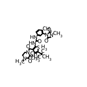 Cc1ccc(NC(=O)Nc2sc(C(C)(C)C)cc2C(=O)N2CCN(C)C(=O)C2(C)C)cc1N1C(=O)CN(C)C1=O